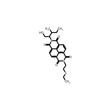 CCSCCN1C(=O)c2ccc3c4c(ccc(c24)C1=O)C(=O)N(C(CO)C(C)CC)C3=O